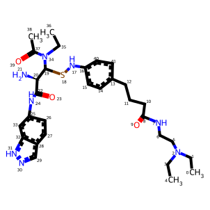 CCN(CC)CCNC(=O)CCCc1ccc(NSC([C@H](N)C(=O)Nc2ccc3cn[nH]c3c2)N(CC)C(C)=O)cc1